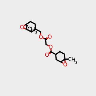 CC12CCC(COC(=O)COC(=O)C3CCC4(C)OC4C3)CC1O2